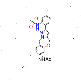 CC(=O)Nc1ccc2c(c1)OCc1cc(-c3ccccc3NS(C)(=O)=O)nn1C2